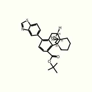 CC(C)(C)OC(=O)c1ccc(-c2ccc3scnc3c2)c2c1[C@@]13CCCC[C@H]1[C@@H](C2)NCC3